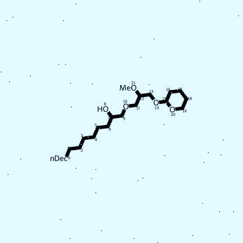 CCCCCCCCCCCCCCCCC(O)COCC(COC1CCCCO1)OC